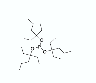 CCCC(CC)(CC)OP(OC(CC)(CC)CCC)OC(CC)(CC)CCC